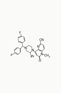 CC(C)C1CN(C(c2ccc(F)cc2)c2ccc(F)cc2)CCN1c1cc(=O)n(C)c2ccc(C#N)nc12